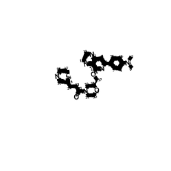 CN(C)c1ccc(-c2cc3nccnc3c(OC[C@@H]3CN(C(=O)CCc4cccnc4)CCO3)n2)cc1